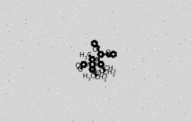 Cc1cc2c3c(c1)N(c1ccc4c(c1)OCO4)c1ccc(C(C)(C)C)cc1B3c1cc(C(C)(C)C)ccc1N2c1cc(-c2cc3ccccc3o2)cc(-c2cc3ccccc3o2)c1